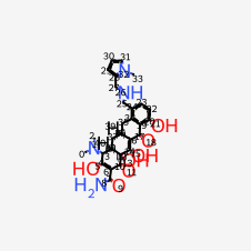 CN(C)C1C(O)=C(C(N)=O)C(=O)[C@@]2(O)C(O)=C3C(=O)c4c(O)ccc(CNCc5cccn5C)c4C[C@H]3C[C@@H]12